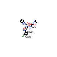 CCC[C@H](NC(=O)[C@@H]1C[C@]2(CC(c3cc(Cl)c(OC)cc3OC)=NO2)CN1C(=O)NCc1ccccc1)C(=O)C(=O)NC1CC1